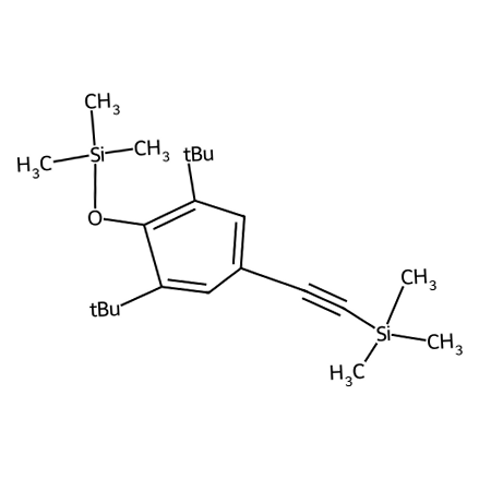 CC(C)(C)c1cc(C#C[Si](C)(C)C)cc(C(C)(C)C)c1O[Si](C)(C)C